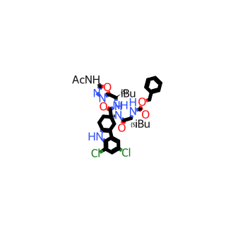 CC[C@H](C)C(NC(=O)OCc1ccccc1)C(=O)N[C@]1(C(=O)NC(c2nnc(NC(C)=O)o2)[C@@H](C)CC)CCc2[nH]c3c(Cl)cc(Cl)cc3c2C1